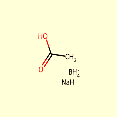 CC(=O)O.[BH4-].[NaH]